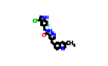 Cc1cnc2ccc(Cc3cnnc(C(=O)NCc4cc5c(Cl)c[nH]c5cc4F)c3)cc2c1